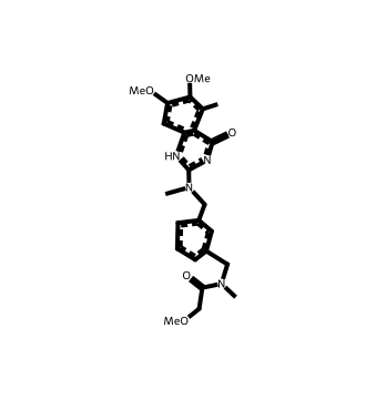 COCC(=O)N(C)Cc1cccc(CN(C)c2nc(=O)c3c(C)c(OC)c(OC)cc3[nH]2)c1